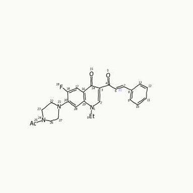 CCn1cc(C(=O)/C=C/c2ccccc2)c(=O)c2cc(F)c(N3CCN(C(C)=O)CC3)cc21